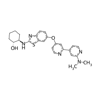 CN(C)c1cc(-c2cc(Oc3ccc4nc(N[C@@H]5CCCC[C@H]5O)sc4c3)ccn2)ccn1